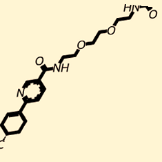 CCOC(=O)[C@@H]1CC=C(c2ccc(C(=O)NCCOCCOCCNC(=O)OC(C)(C)C)cn2)CC1